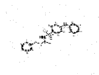 CC(CCc1ccccc1)NS(=O)(=O)c1ccc(Oc2ccccc2)cc1